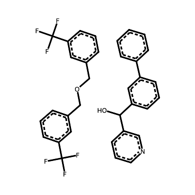 FC(F)(F)c1cccc(COCc2cccc(C(F)(F)F)c2)c1.OC(c1cccnc1)c1cccc(-c2ccccc2)c1